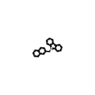 c1ccc2cc(Cn3c4ccccc4c4ccccc43)ccc2c1